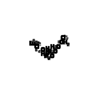 O.O.O.O.O.O.[Cl-].[Cl-].[Eu+2]